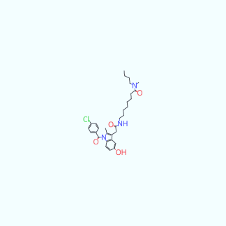 CCCCN(C)C(=O)CCCCCCCNC(=O)Cc1c(C)n(C(=O)c2ccc(Cl)cc2)c2ccc(O)cc12